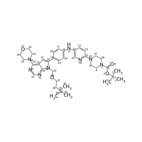 CC(C)(C)OC(=O)N1CCN(c2ccc(Nc3ccc(-c4cc5c(N6CCOCC6)ncnc5n4COCC[Si](C)(C)C)cc3)cn2)CC1